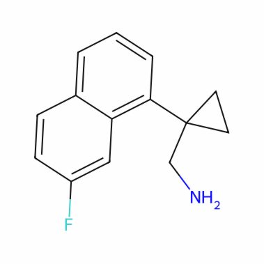 NCC1(c2cccc3ccc(F)cc23)CC1